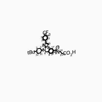 CC(C)(C)C1CCC(N(Cc2ccc(C(=O)NCCC(=O)O)cc2)c2nc(-c3ccc(C(F)(F)F)cc3)cs2)CC1